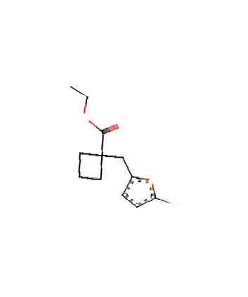 CCOC(=O)C1(Cc2ccc(Cl)s2)CCC1